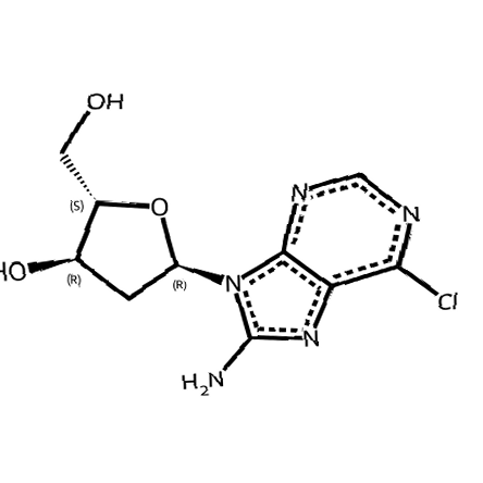 Nc1nc2c(Cl)ncnc2n1[C@H]1C[C@@H](O)[C@H](CO)O1